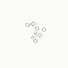 CC1(C)c2cc(N(c3ccccc3)c3ccc4c(c3)C3(c5ccccc5O4)c4ccccc4-c4ccccc43)ccc2-c2c1ccc1c2oc2ccccc21